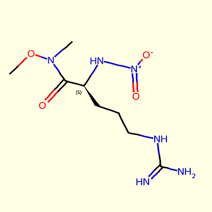 CON(C)C(=O)[C@H](CCCNC(=N)N)N[N+](=O)[O-]